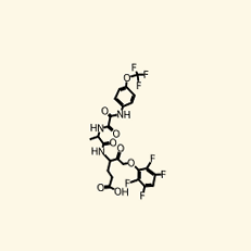 CC(NC(=O)C(=O)Nc1ccc(OC(F)(F)F)cc1)C(=O)NC(CCC(=O)O)C(=O)COc1c(F)c(F)cc(F)c1F